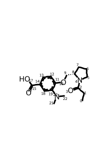 CCC(=O)N1CCC[C@H]1COc1ccc(C(=O)O)cc1N(C)C